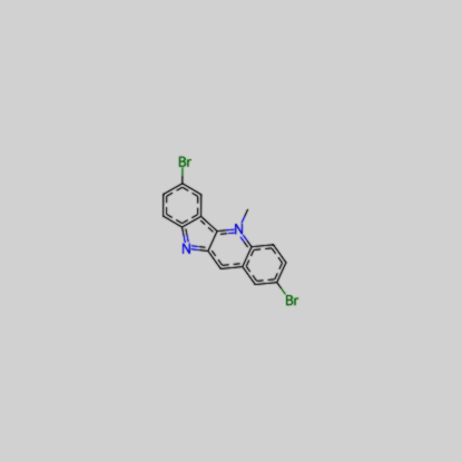 Cn1c2c3cc(Br)ccc3nc-2cc2cc(Br)ccc21